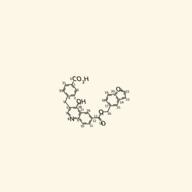 O=C(O)c1ccc(Cc2cnc3ccc(C(=O)OCc4ccc5occc5c4)cc3c2O)cc1